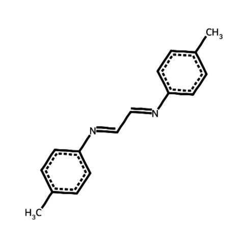 Cc1ccc(N=CC=Nc2ccc(C)cc2)cc1